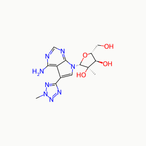 Cn1nnc(-c2cn([C@@H]3O[C@H](CO)[C@@H](O)[C@@]3(C)O)c3ncnc(N)c23)n1